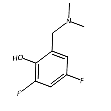 CN(C)Cc1cc(F)cc(F)c1O